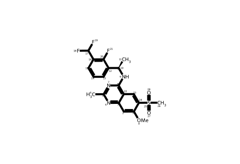 COc1cc2nc(C)nc(N[C@H](C)c3cccc(C(F)F)c3F)c2cc1S(C)(=O)=O